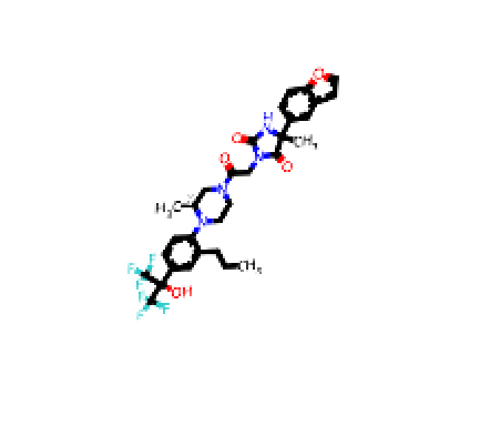 CCCc1cc(C(O)(C(F)(F)F)C(F)(F)F)ccc1N1CCN(C(=O)CN2C(=O)NC(C)(c3ccc4occc4c3)C2=O)C[C@@H]1C